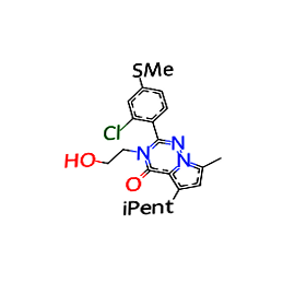 CCCC(C)c1cc(C)n2nc(-c3ccc(SC)cc3Cl)n(CCO)c(=O)c12